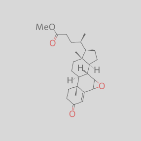 COC(=O)CC[C@@H](C)[C@H]1CC[C@H]2[C@@H]3C4OC4C4=CC(=O)CC[C@]4(C)[C@H]3CC[C@]12C